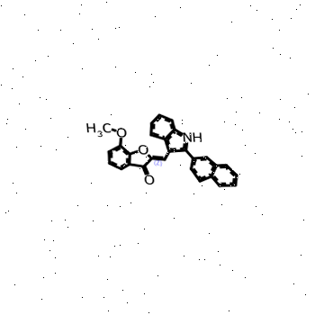 COc1cccc2c1O/C(=C\c1c(-c3ccc4ccccc4c3)[nH]c3ccccc13)C2=O